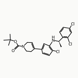 C[C@@H](Nc1cc(C2=CCN(C(=O)OC(C)(C)C)CC2)ccc1Cl)c1ccc(Cl)cc1Cl